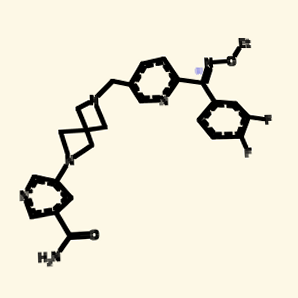 CCO/N=C(\c1ccc(F)c(F)c1)c1ccc(CN2CC3(C2)CN(c2cncc(C(N)=O)c2)C3)cn1